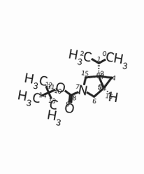 CC(C)[C@]12C[C@H]1CN(C(=O)OC(C)(C)C)C2